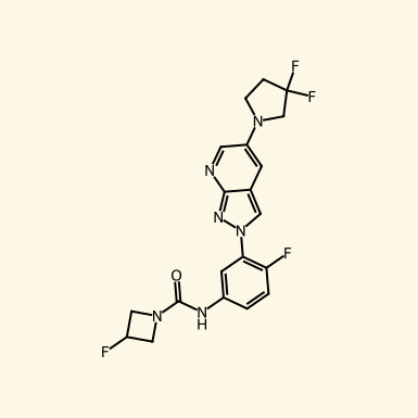 O=C(Nc1ccc(F)c(-n2cc3cc(N4CCC(F)(F)C4)cnc3n2)c1)N1CC(F)C1